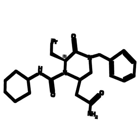 CC(C)C[C@H]1C(=O)N(Cc2ccccc2)CC(CC(N)=O)N1C(=O)NC1CCCCC1